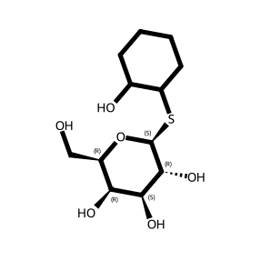 OC[C@H]1O[C@@H](SC2CCCCC2O)[C@H](O)[C@@H](O)[C@H]1O